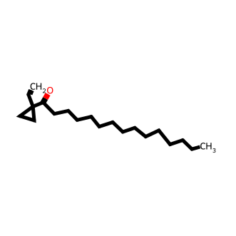 C=CC1(C(=O)CCCCCCCCCCCCCC)CC1